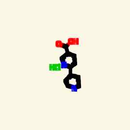 Cl.O=C(O)c1ccc(-c2ccncc2)nc1